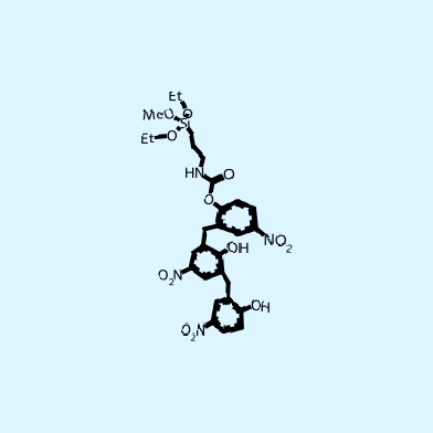 CCO[Si](CCCNC(=O)Oc1ccc([N+](=O)[O-])cc1Cc1cc([N+](=O)[O-])cc(Cc2cc([N+](=O)[O-])ccc2O)c1O)(OC)OCC